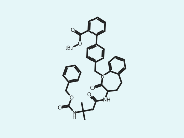 CC(C)(CC(=O)NC1CCc2ccccc2N(Cc2ccc(-c3ccccc3C(=O)OC(C)(C)C)cc2)C1=O)NC(=O)OCc1ccccc1